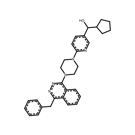 OC(c1ccc(N2CCN(c3nnc(Cc4ccccc4)c4ccccc34)CC2)nc1)C1CCCC1